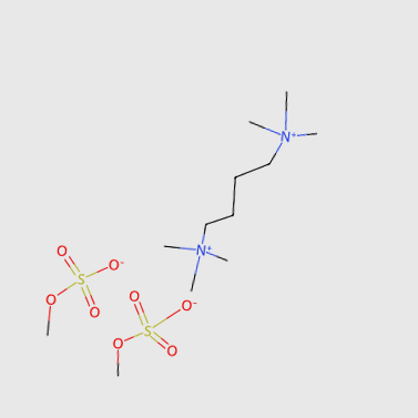 COS(=O)(=O)[O-].COS(=O)(=O)[O-].C[N+](C)(C)CCCC[N+](C)(C)C